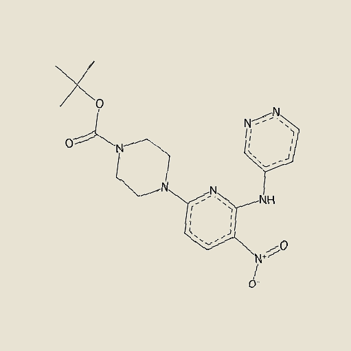 CC(C)(C)OC(=O)N1CCN(c2ccc([N+](=O)[O-])c(Nc3ccnnc3)n2)CC1